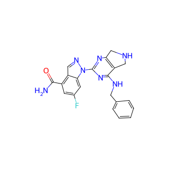 NC(=O)c1cc(F)cc2c1cnn2-c1nc2c(c(NCc3ccccc3)n1)CNC2